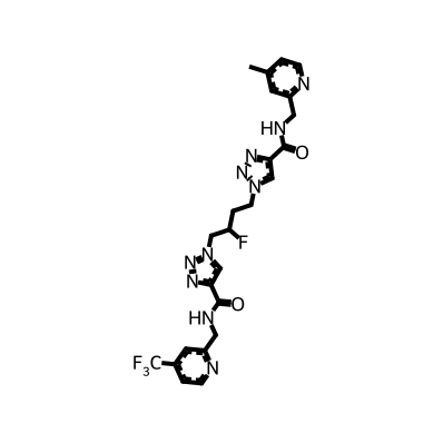 Cc1ccnc(CNC(=O)c2cn(CCC(F)Cn3cc(C(=O)NCc4cc(C(F)(F)F)ccn4)nn3)nn2)c1